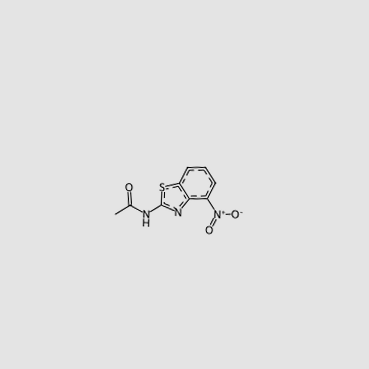 CC(=O)Nc1nc2c([N+](=O)[O-])cccc2s1